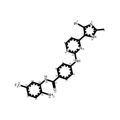 Cc1nc(C(C)C)c(-c2ccnc(Nc3ccc(C(=O)Nc4cc(C(F)(F)F)ccc4N)cc3)n2)[nH]1